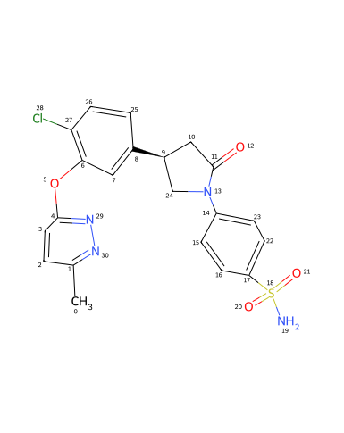 Cc1ccc(Oc2cc([C@H]3CC(=O)N(c4ccc(S(N)(=O)=O)cc4)C3)ccc2Cl)nn1